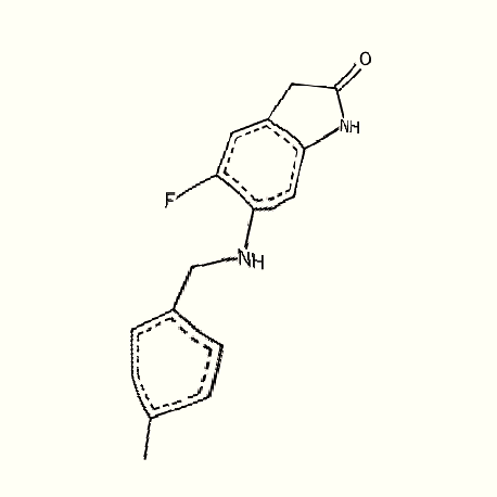 Cc1ccc(CNc2cc3c(cc2F)CC(=O)N3)cc1